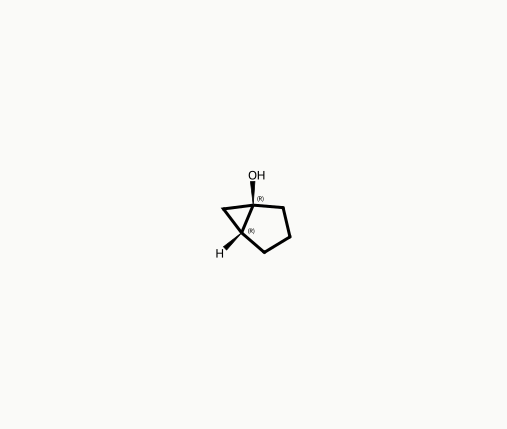 O[C@@]12CCC[C@@H]1C2